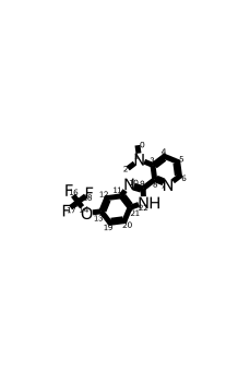 CN(C)c1cccnc1-c1nc2cc(OC(F)(F)F)ccc2[nH]1